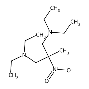 CCN(CC)CC(C)(CN(CC)CC)[N+](=O)[O-]